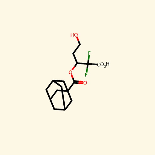 O=C(OC(CCO)C(F)(F)C(=O)O)C12CC3CC(CC(C3)C1)C2